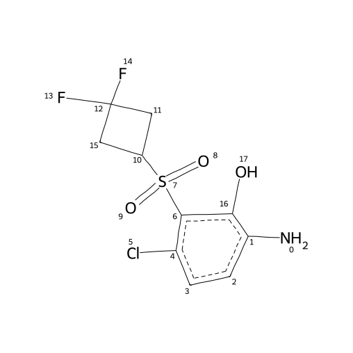 Nc1ccc(Cl)c(S(=O)(=O)C2CC(F)(F)C2)c1O